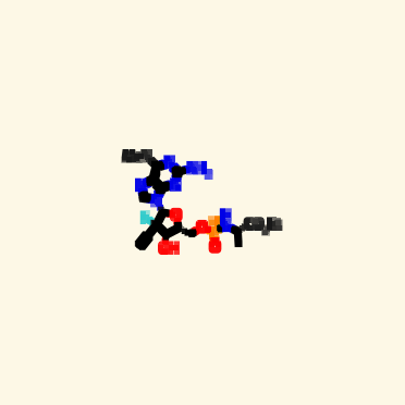 C#C[C@@]1(F)[C@H](O)[C@@H](CO[PH](=O)N[C@@H](C)C(=O)OCC)O[C@H]1n1cnc2c(NC)nc(N)nc21